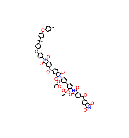 C=CC(=O)Oc1cc(-c2ccc(N3C(=O)c4ccc(C(=O)c5ccc6c(c5)C(=O)N(c5ccc(Oc7ccc(C(C)(C)c8ccc(Oc9ccc(C)cc9)cc8)cc7)cc5)C6=O)cc4C3=O)c(OC(=O)C=C)c2)ccc1N1C(=O)c2ccc(C(=O)c3ccc4c(c3)C(=O)N(C)C4=O)cc2C1=O